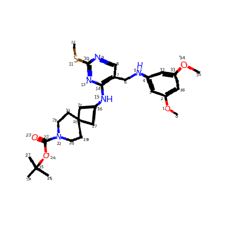 COc1cc(NCc2cnc(SC)nc2NC2CC3(CCN(C(=O)OC(C)(C)C)CC3)C2)cc(OC)c1